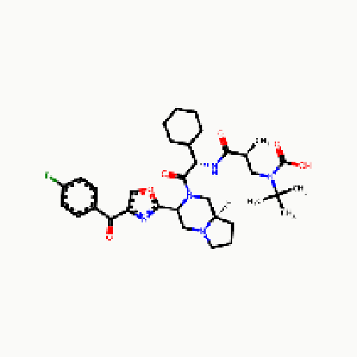 C[C@@H](CN(C(=O)O)C(C)(C)C)C(=O)N[C@H](C(=O)N1C[C@H]2CCCN2C[C@H]1c1nc(C(=O)c2ccc(F)cc2)co1)C1CCCCC1